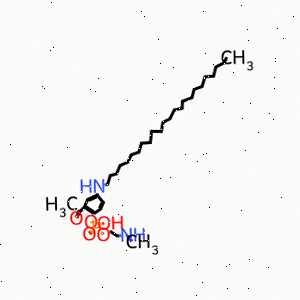 CCCCCCCCCCCCCCCCCCCCCCCCNc1ccc(OP(=O)(O)OCCNC)c(C(C)=O)c1